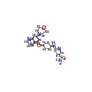 CN(C)C(=O)c1ccc(NC2CCC(Oc3cc(N4CCOCC4)cc4nccnc34)CC2)nc1